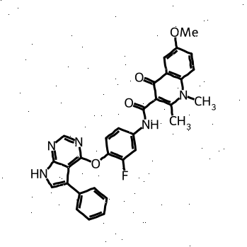 COc1ccc2c(c1)c(=O)c(C(=O)Nc1ccc(Oc3ncnc4[nH]cc(-c5ccccc5)c34)c(F)c1)c(C)n2C